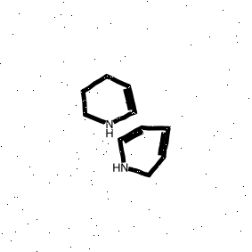 C1=CCNC=C1.C1=CNCCC1